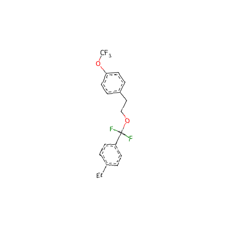 CCc1ccc(C(F)(F)OCCc2ccc(OC(F)(F)F)cc2)cc1